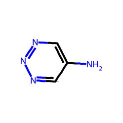 Nc1[c]nnnc1